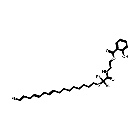 CCC=CCC=CCC=CCCCCCCCCSC(CC)(CC)C(=O)NCCOC(=O)c1ccccc1O